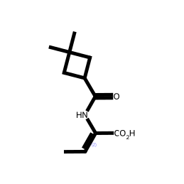 C/C=C(\NC(=O)C1CC(C)(C)C1)C(=O)O